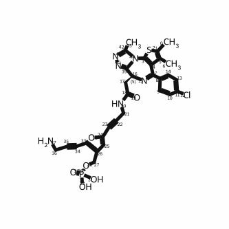 Cc1sc2c(c1C)C(c1ccc(Cl)cc1)=N[C@@H](CC(=O)NCC#Cc1cc(COP(=O)(O)O)c(C#CCN)o1)c1nnc(C)n1-2